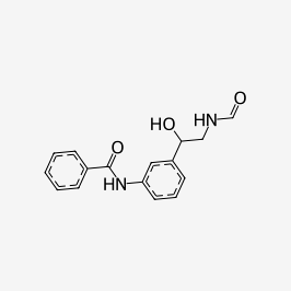 O=CNCC(O)c1cccc(NC(=O)c2ccccc2)c1